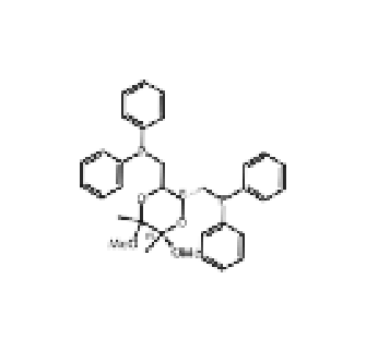 COC1(C)OC(CP(c2ccccc2)c2ccccc2)[C@H](CP(c2ccccc2)c2ccccc2)O[C@@]1(C)OC